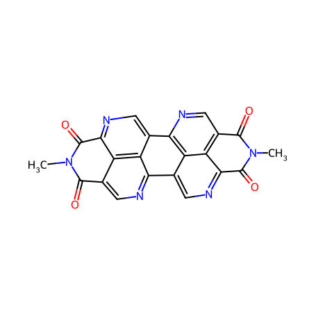 CN1C(=O)c2cnc3c4cnc5c6c(cnc(c7cnc(c2c73)C1=O)c64)C(=O)N(C)C5=O